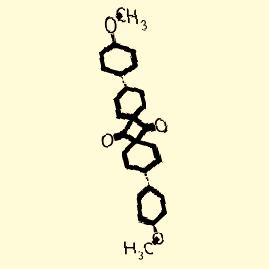 CO[C@H]1CC[C@H](C2CCC3(CC2)C(=O)C2(CCC([C@H]4CC[C@H](OC)CC4)CC2)C3=O)CC1